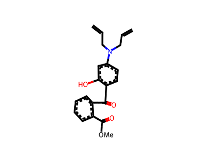 C=CCN(CC=C)c1ccc(C(=O)c2ccccc2C(=O)OC)c(O)c1